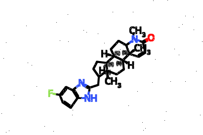 CN1C(=O)C=C[C@@]2(C)C1CC[C@@H]1[C@H]2CC[C@]2(C)C(Cc3nc4cc(F)ccc4[nH]3)CC[C@@H]12